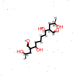 C[C@@H](O)CC(C=O)C(O)CCCCC(O)C(C=O)C[C@@H](C)O